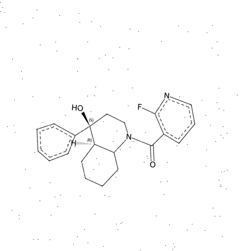 O=C(c1cccnc1F)N1CC[C@@](O)(c2ccccc2)[C@@H]2CCCCC21